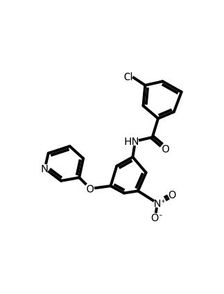 O=C(Nc1cc(Oc2cccnc2)cc([N+](=O)[O-])c1)c1cccc(Cl)c1